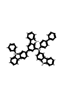 c1ccc(-c2ccc(N(c3ccc4sc5ccccc5c4c3)c3cc(-c4ccc5c6ccccc6n(-c6ccccc6)c5c4)cc4c3sc3ccccc34)cc2)cc1